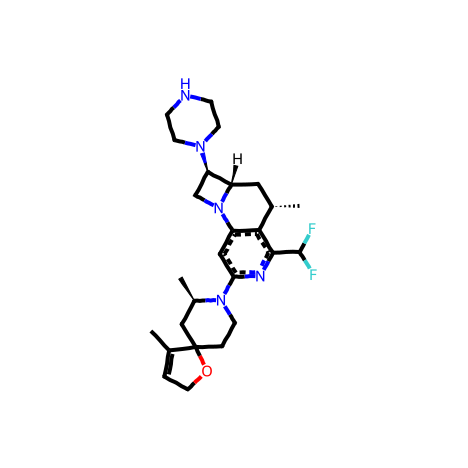 CC1=CCOC12CCN(c1cc3c(c(C(F)F)n1)[C@@H](C)C[C@H]1[C@H](N4CCNCC4)CN31)[C@H](C)C2